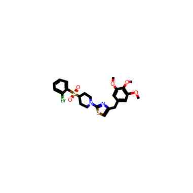 COc1cc(Cc2csc(N3CCC(S(=O)(=O)c4ccccc4Br)CC3)n2)cc(OC)c1OC